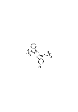 CS(=O)(=O)CCn1c(Cn2nc(S(C)(=O)=O)c3ccccc32)nc2cc(Cl)ccc21